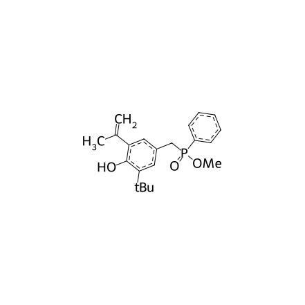 C=C(C)c1cc(CP(=O)(OC)c2ccccc2)cc(C(C)(C)C)c1O